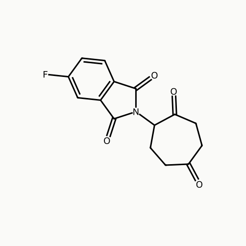 O=C1CCC(=O)C(N2C(=O)c3ccc(F)cc3C2=O)CC1